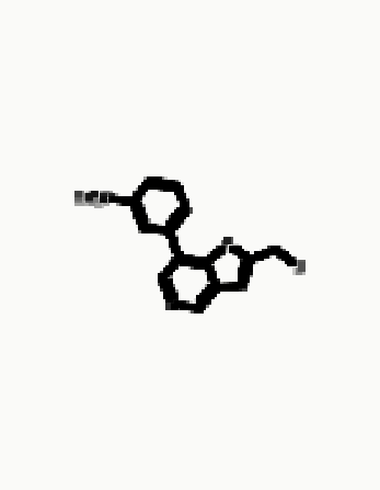 CCOC(=O)c1cccc(-c2cncc3cc(CCl)oc23)c1